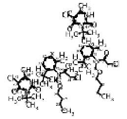 CCCCOCN(C(=O)CCl)c1c(C)cccc1C(C)(C)C.CCCCOCN(C(=O)CCl)c1c(C)cccc1C(C)(C)C.Cc1[nH]c(=O)n(C(C)(C)C)c(=O)c1Cl.Cc1[nH]c(=O)n(C(C)(C)C)c(=O)c1Cl